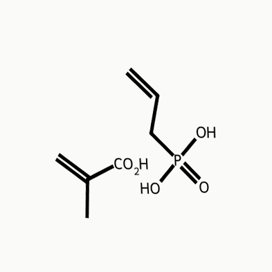 C=C(C)C(=O)O.C=CCP(=O)(O)O